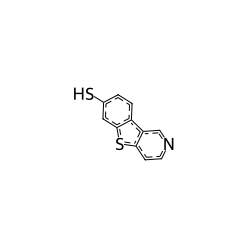 Sc1ccc2c(c1)sc1ccncc12